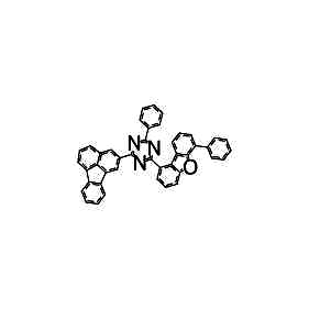 c1ccc(-c2nc(-c3cc4c5c(cccc5c3)-c3ccccc3-4)nc(-c3cccc4oc5c(-c6ccccc6)cccc5c34)n2)cc1